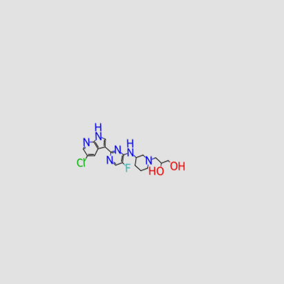 OCC(O)CN1CCCC(Nc2nc(-c3c[nH]c4ncc(Cl)cc34)ncc2F)C1